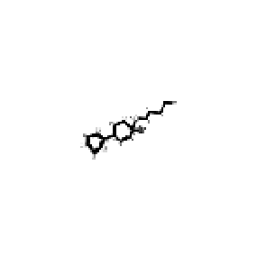 CCCCCOC1(Br)C=CC(c2ccccc2)=CC1